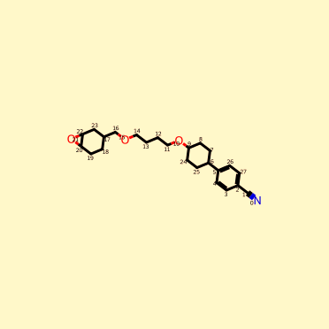 N#Cc1ccc(C2CCC(OCCCCOCC3CCC4OC4C3)CC2)cc1